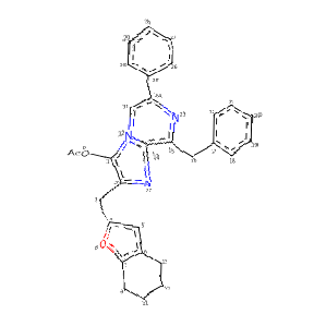 CC(=O)Oc1c(Cc2cc3c(o2)CCCC3)nc2c(Cc3ccccc3)nc(-c3ccccc3)cn12